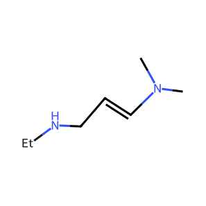 CCNCC=CN(C)C